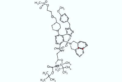 COc1ccc(Cn2nnc(-c3c(N4CCC(COCCOS(C)(=O)=O)CC4)ccc(S(=O)(=O)NCC(CNC(=O)OC(C)(C)C)O[Si](C)(C)C(C)(C)C)c3S(=O)(=O)N(Cc3ccccc3)Cc3ccccc3)n2)cc1